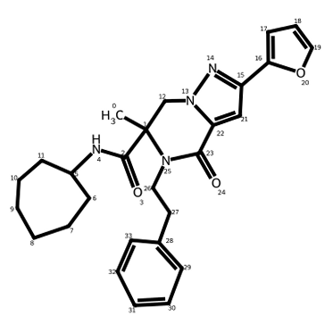 CC1(C(=O)NC2CCCCCC2)Cn2nc(-c3ccco3)cc2C(=O)N1CCc1ccccc1